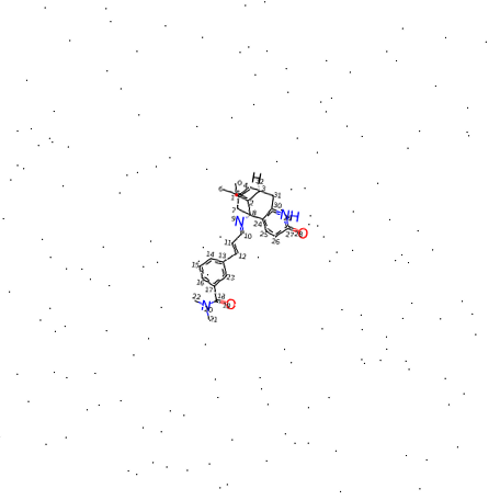 C/C=C1\[C@H]2C=C(C)C[C@]1(N=CC=Cc1cccc(C(=O)N(C)C)c1)c1ccc(=O)[nH]c1C2